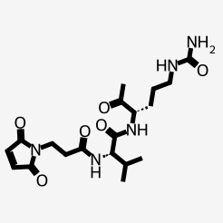 CC(=O)[C@H](CCCNC(N)=O)NC(=O)[C@@H](NC(=O)CCN1C(=O)C=CC1=O)C(C)C